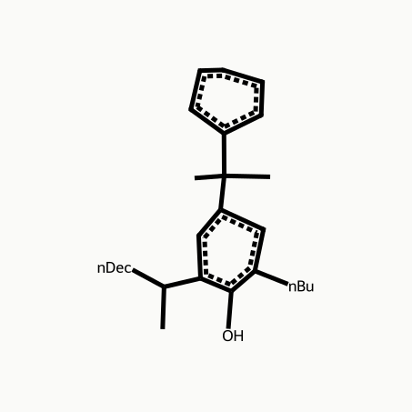 CCCCCCCCCCC(C)c1cc(C(C)(C)c2ccccc2)cc(CCCC)c1O